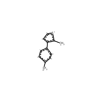 Cc1sccc1-c1ccc(C(F)(F)F)cc1